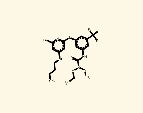 CCCCNc1cc(Br)nc(Sc2cc(NC(=O)N(OCC)SC)cc(C(F)(F)F)c2)c1